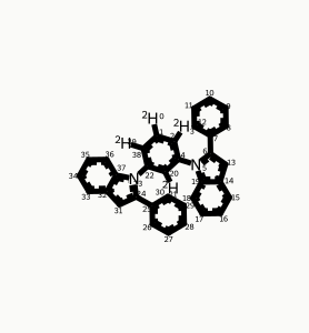 [2H]c1c([2H])c(-n2c(-c3ccccc3)cc3ccccc32)c([2H])c(-n2c(-c3ccccc3)cc3ccccc32)c1[2H]